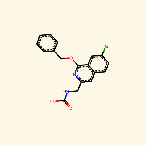 O=C(O)NCc1cc2ccc(Br)cc2c(OCc2ccccc2)n1